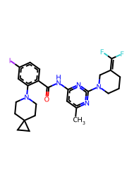 Cc1cc(NC(=O)c2ccc(I)cc2N2CCC3(CC2)CC3)nc(N2CCCC(=C(F)F)C2)n1